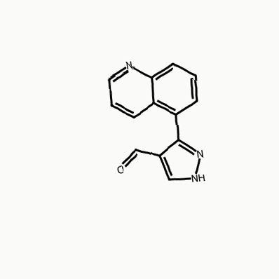 O=Cc1c[nH]nc1-c1cccc2ncccc12